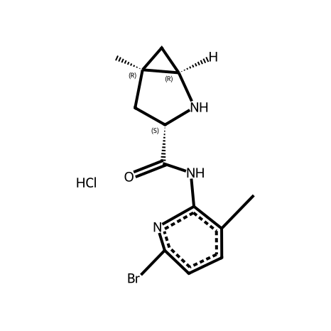 Cc1ccc(Br)nc1NC(=O)[C@@H]1C[C@@]2(C)C[C@H]2N1.Cl